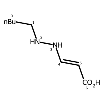 CCCCCNNC=CC(=O)O